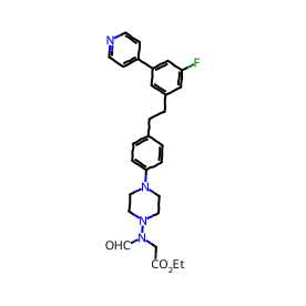 CCOC(=O)CN(C=O)N1CCN(c2ccc(CCc3cc(F)cc(-c4ccncc4)c3)cc2)CC1